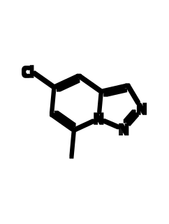 Cc1cc(Cl)cc2cnnn12